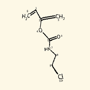 C=CC(=C)OC(=O)NCCCl